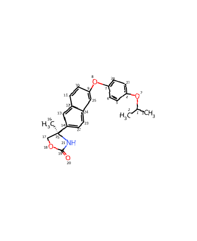 CC(C)Oc1ccc(Oc2ccc3cc([C@]4(C)COC(=O)N4)ccc3c2)cc1